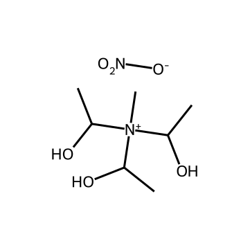 CC(O)[N+](C)(C(C)O)C(C)O.O=[N+]([O-])[O-]